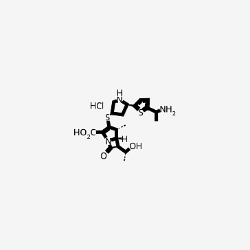 CC(N)c1ccc([C@H]2C[C@H](SC3=C(C(=O)O)N4C(=O)[C@H]([C@@H](C)O)[C@H]4[C@H]3C)CN2)s1.Cl